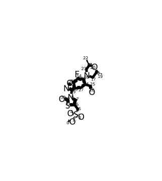 COS(=O)(=O)Cc1cn(-c2noc3c(F)c(N4C[C@@H](C)O[C@H](C)C4)c(C=O)cc23)c(=O)s1